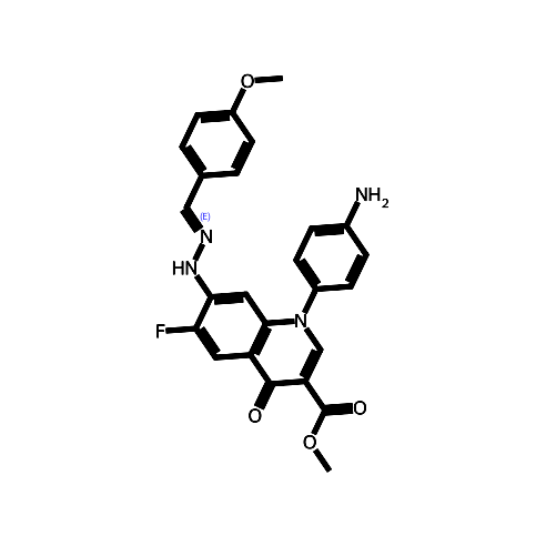 COC(=O)c1cn(-c2ccc(N)cc2)c2cc(N/N=C/c3ccc(OC)cc3)c(F)cc2c1=O